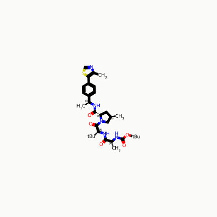 Cc1ncsc1-c1ccc([C@H](C)NC(=O)[C@@H]2C[C@@H](C)CN2C(=O)[C@@H](NC(=O)[C@@H](C)NC(=O)OC(C)(C)C)C(C)(C)C)cc1